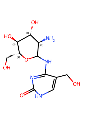 N[C@H]1C(Nc2nc(=O)[nH]cc2CO)O[C@H](CO)[C@@H](O)[C@@H]1O